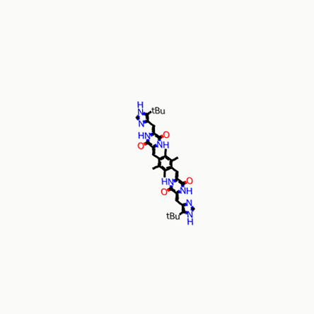 Cc1c(C)c(/C=c2\[nH]c(=O)/c(=C/c3nc[nH]c3C(C)(C)C)[nH]c2=O)c(C)c(C)c1/C=c1\[nH]c(=O)c(=Cc2nc[nH]c2C(C)(C)C)[nH]c1=O